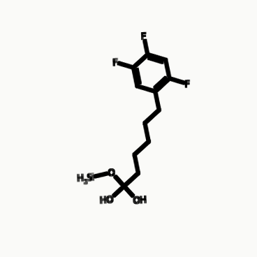 OC(O)(CCCCCc1cc(F)c(F)cc1F)O[SiH3]